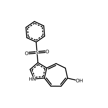 O=S(=O)(c1ccccc1)c1c[nH]c2c1=CCC(O)=CC=2